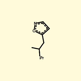 CC(C)C(C)Cc1ccno1